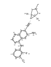 CN1C[C@@H]2[C@@H](C#Cc3cc4ncnc(Nc5cccc(Cl)c5F)c4cc3N)[C@@H]2C1